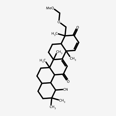 COCOCC1(C)C(=O)C=CC2(C)C3=CC(=O)C4C5C(CCC(C)(C)C5C#N)CCC4(C)C3(C)CCC21